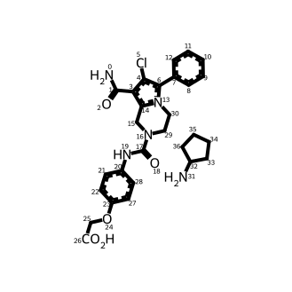 NC(=O)c1c(Cl)c(-c2ccccc2)n2c1CN(C(=O)Nc1ccc(OCC(=O)O)cc1)CC2.NC1CCCC1